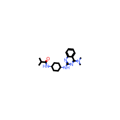 CC(C)C(=O)N[C@H]1CC[C@@H](Nc2nc(N(C)C)c3ccccc3n2)CC1